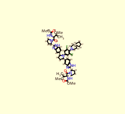 COC(=O)N[C@H](C(=O)N1CCC[C@H]1c1nc2cc([C@@H]3CC[C@@H](c4ccc5[nH]c([C@@H]6CCCN6C(=O)[C@@H](NC(=O)OC)[C@@H](C)OC)nc5c4)N3c3cc(F)c(N4CC[Si]5(CCCC5)CC4)c(F)c3)ccc2[nH]1)[C@@H](C)OC